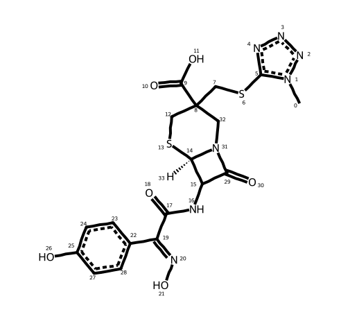 Cn1nnnc1SCC1(C(=O)O)CS[C@@H]2C(NC(=O)C(=NO)c3ccc(O)cc3)C(=O)N2C1